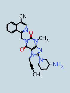 CC#CCn1c(N2CCC[C@@H](N)C2)nc2c1c(=O)n(Cc1ncc(C#N)c3ccccc13)c(=O)n2C